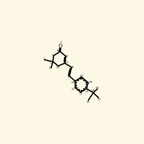 CC1(C)CC(=O)C=C(C=Cc2ccc(C(C)(C)C)cc2)C1